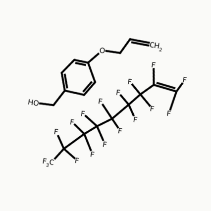 C=CCOc1ccc(CO)cc1.FC(F)=C(F)C(F)(F)C(F)(F)C(F)(F)C(F)(F)C(F)(F)C(F)(F)C(F)(F)F